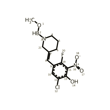 COBN1CCC/C(=C\c2cc(Cl)c(O)c([N+](=O)[O-])c2F)C1